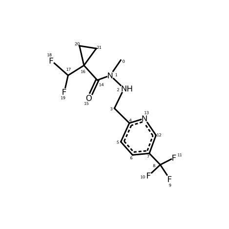 CN(NCc1ccc(C(F)(F)F)cn1)C(=O)C1(C(F)F)CC1